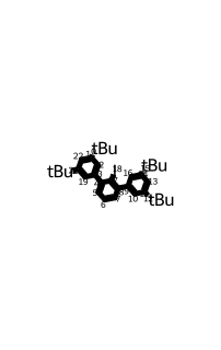 CC(C)(C)c1cc(-c2cccc(-c3cc(C(C)(C)C)cc(C(C)(C)C)c3)c2I)cc(C(C)(C)C)c1